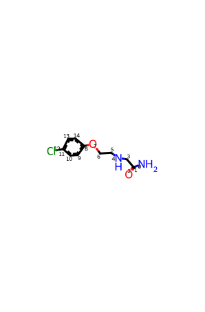 NC(=O)CNCCOc1ccc(Cl)cc1